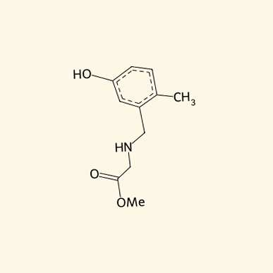 COC(=O)CNCc1cc(O)ccc1C